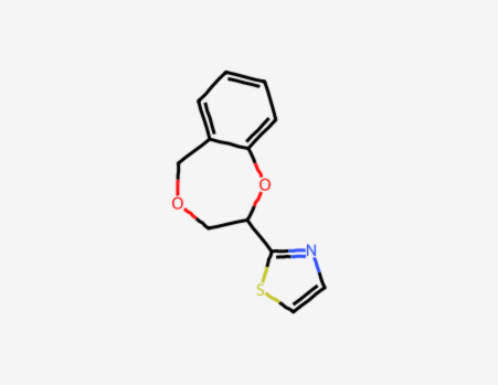 c1ccc2c(c1)COCC(c1nccs1)O2